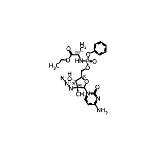 CCOC(=O)[C@H](C)NP(=O)(OC[C@H]1OC(n2ccc(N)nc2=O)[C@](C)(N=[N+]=[N-])[C@@H]1O)Oc1ccccc1